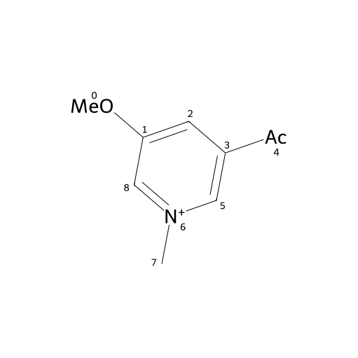 COc1cc(C(C)=O)c[n+](C)c1